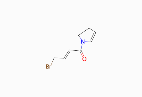 O=C(/C=C/CBr)N1C=CCC1